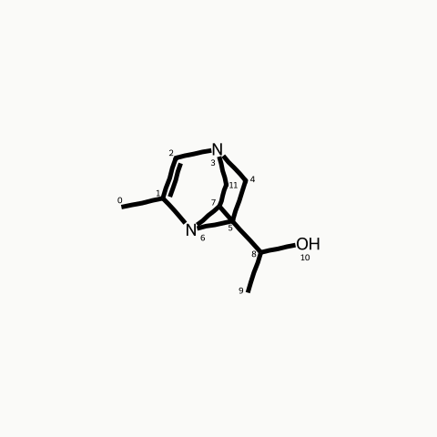 CC1=CN2CCN1C(C(C)O)C2